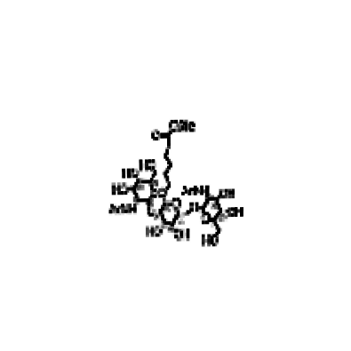 COC(=O)CCCCCO[C@@H]1O[C@H](CO[C@@H]2O[C@H](CO)[C@@H](O)[C@H](O)[C@H]2NC(C)=O)[C@H](O)[C@H](O)[C@H]1O[C@@H]1O[C@H](CO)[C@@H](O)[C@H](O)[C@H]1NC(C)=O